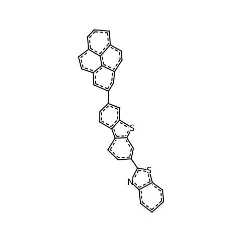 c1cc2ccc3cc(-c4ccc5c(c4)sc4cc(-c6nc7ccccc7s6)ccc45)cc4ccc(c1)c2c34